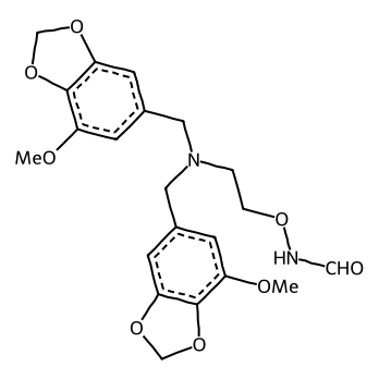 COc1cc(CN(CCONC=O)Cc2cc(OC)c3c(c2)OCO3)cc2c1OCO2